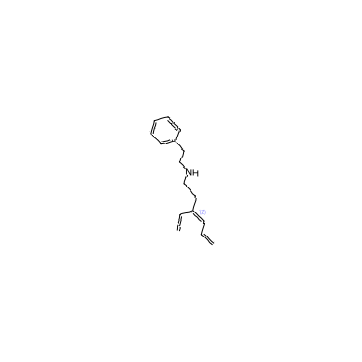 C=C/C=C(\C=C)CCNCCc1ccccc1